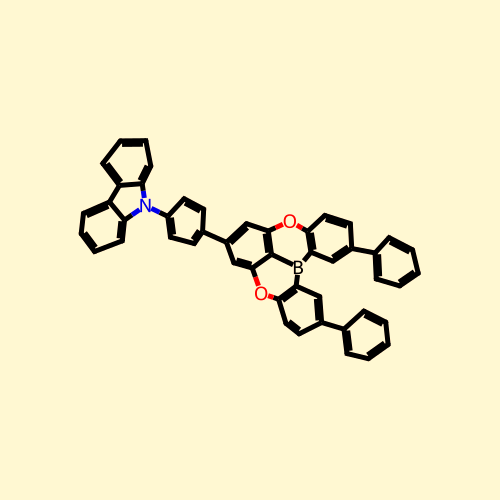 c1ccc(-c2ccc3c(c2)B2c4cc(-c5ccccc5)ccc4Oc4cc(-c5ccc(-n6c7ccccc7c7ccccc76)cc5)cc(c42)O3)cc1